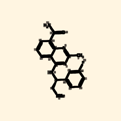 CNC[C@@H](Nc1nc(C)nc2c(C(N)=O)cccc12)c1cccc(F)c1